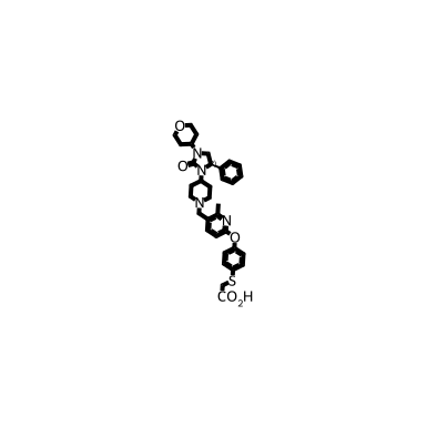 Cc1nc(Oc2ccc(SCC(=O)O)cc2)ccc1CN1CCC(N2C(=O)N(C3CCOCC3)C[C@H]2c2ccccc2)CC1